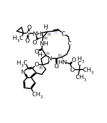 Cc1ccc2nc(C)c3c(c2c1)CC[C@]1(C[C@H]2C(=O)N[C@]4(C(=O)NS(=O)(=O)C5(C)CC5)C[C@H]4/C=C\CCCCC[C@H](NC(=O)OC(C)(C)C)C(=O)N2C1)O3